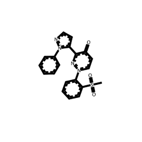 CS(=O)(=O)c1ccccc1-n1ccc(=O)c(-c2ccnn2-c2ccccc2)n1